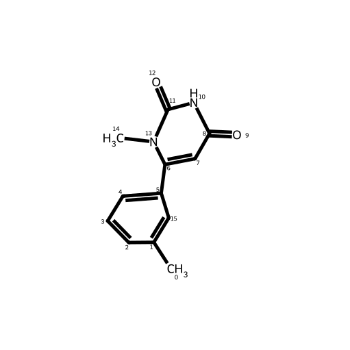 Cc1cccc(-c2cc(=O)[nH]c(=O)n2C)c1